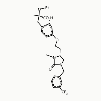 CCO[C@@](C)(Cc1ccc(OCC[C@@H]2CN(Cc3cccc(C(F)(F)F)c3)C(=O)N2C)cc1)C(=O)O